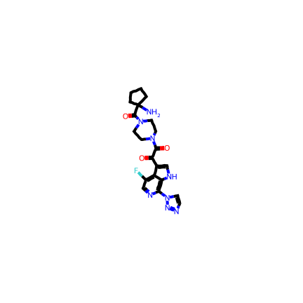 NC1(C(=O)N2CCN(C(=O)C(=O)c3c[nH]c4c(-n5ccnn5)ncc(F)c34)CC2)CCCC1